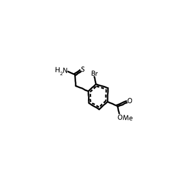 COC(=O)c1ccc(CC(N)=S)c(Br)c1